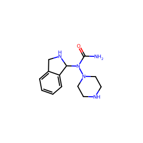 NC(=O)N(C1NCc2ccccc21)N1CCNCC1